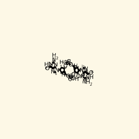 Nc1nc2c(ncn2[C@H]2CC3OP(=O)(O)OC[C@H]4C[C@@H](n5cnc6c(=O)[nH]c(N)nc65)C(O)C4OP(=O)(O)OC[C@H]3C2)c(=O)[nH]1